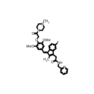 COc1cc(/C=C2/C(C)=C(CC(=O)NCc3ccccn3)c3cc(F)ccc32)cc(OC)c1OCC(=O)N1CCN(C)CC1